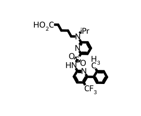 Cc1ccccc1-c1nc(NS(=O)(=O)c2cccc(N(CCCCC(=O)O)C(C)C)n2)ccc1C(F)(F)F